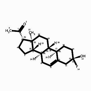 CC(=O)[C@H]1CC[C@H]2[C@@H]3CC=C4C[C@@](O)(F)CC[C@@H]4[C@H]3CC[C@]12C